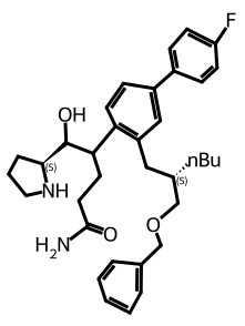 CCCC[C@H](COCc1ccccc1)Cc1cc(-c2ccc(F)cc2)ccc1C(CCC(N)=O)C(O)[C@@H]1CCCN1